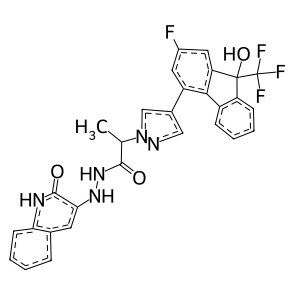 CC(C(=O)NNc1cc2ccccc2[nH]c1=O)n1cc(-c2cc(F)cc3c2-c2ccccc2C3(O)C(F)(F)F)cn1